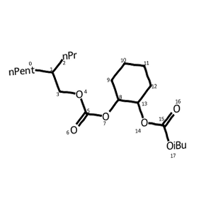 CCCCCC(CCC)COC(=O)OC1CCCCC1OC(=O)OCC(C)C